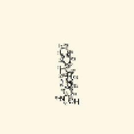 CN(C)[C@H]1C[C@@]23CC[C@@]4(O2)C(=CC3=C[C@@H]1O)CC[C@]1(C)[C@@H](c2ccc3ccccc3c2)CC[C@H]14